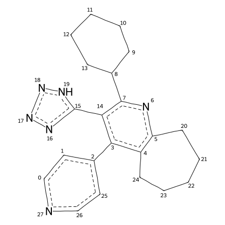 c1cc(-c2c3c(nc(C4CCCCC4)c2-c2nnn[nH]2)CCCCC3)ccn1